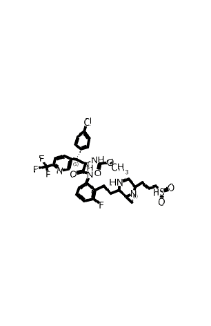 COC(=O)N[C@H](C(=O)Nc1cccc(F)c1CCC1NCC(CCC[SH](=O)=O)[N@]2CC12)[C@@H](c1ccc(Cl)cc1)c1ccc(C(F)(F)F)nc1